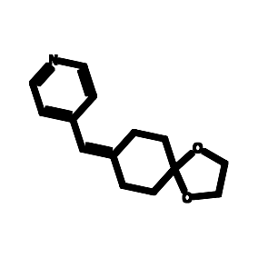 C(=C1CCC2(CC1)OCCO2)c1ccncc1